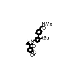 CNC(=O)Cc1ccc(-c2cc(NC(=O)C3(c4ccc5c(c4)OCO5)CC3)ccc2C(C)(C)C)cc1